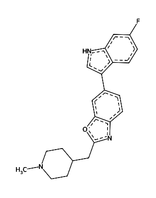 CN1CCC(Cc2nc3ccc(-c4c[nH]c5cc(F)ccc45)cc3o2)CC1